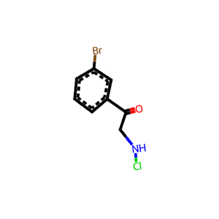 O=C(CNCl)c1cccc(Br)c1